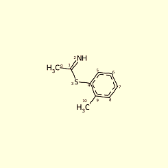 CC(=N)Sc1ccccc1C